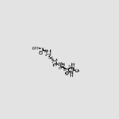 CCCCCCC(=O)NCCSSCCC(=O)NCC#Cc1c[nH]c(=O)[nH]c1=O